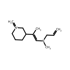 C=CCN(C)/C=C(\C)C1CCC[N+](=C)C1